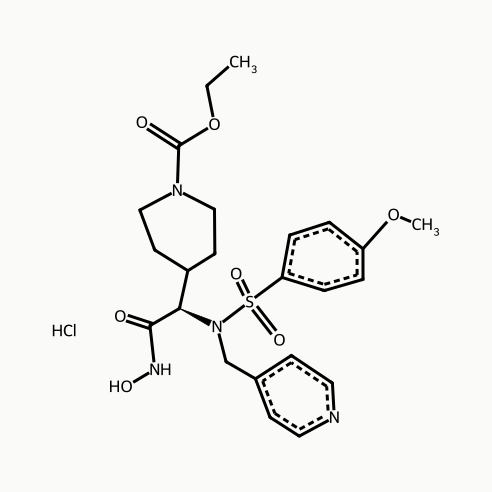 CCOC(=O)N1CCC([C@H](C(=O)NO)N(Cc2ccncc2)S(=O)(=O)c2ccc(OC)cc2)CC1.Cl